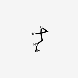 CCCNCC1(O)CO1